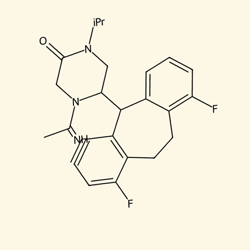 CC(=N)N1CC(=O)N(C(C)C)CC1C1c2c#ccc(F)c2CCc2c(F)cccc21